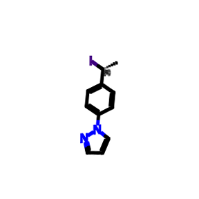 C[C@@H](I)c1ccc(-n2cccn2)cc1